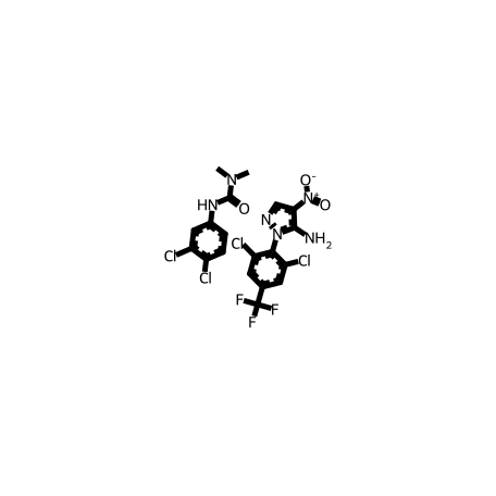 CN(C)C(=O)Nc1ccc(Cl)c(Cl)c1.Nc1c([N+](=O)[O-])cnn1-c1c(Cl)cc(C(F)(F)F)cc1Cl